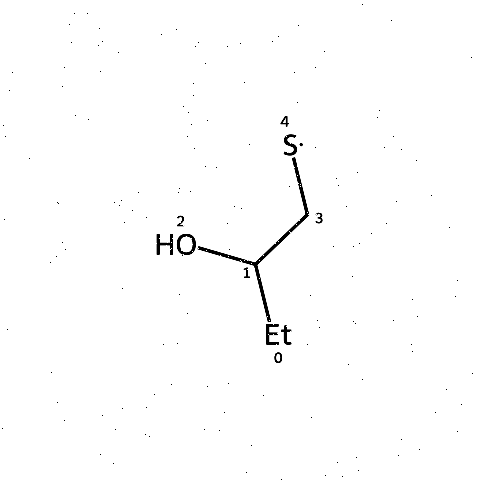 CCC(O)C[S]